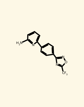 Nc1cccc(-c2ccc(-c3noc(C(F)(F)F)n3)cc2)n1